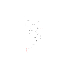 CC[C@@H]1C2C[C@H](O)CC[C@]2(C)[C@H]2CC[C@]3(C)[C@@H]([C@H](C)CCC(=O)O)CC[C@H]3C2[C@@H]1O